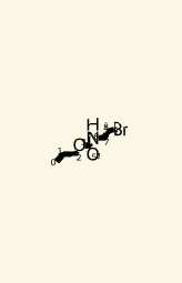 C=CCOC(=O)NCCBr